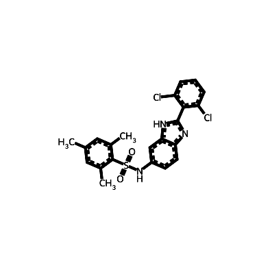 Cc1cc(C)c(S(=O)(=O)Nc2ccc3nc(-c4c(Cl)cccc4Cl)[nH]c3c2)c(C)c1